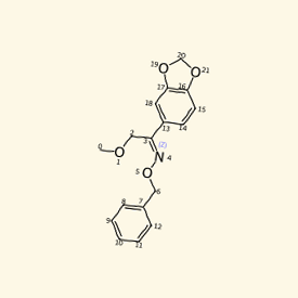 COC/C(=N\OCc1ccccc1)c1ccc2c(c1)OCO2